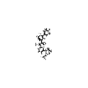 O=C(NC1C=CC=C(c2nncn2C2CC2)C1)c1cc(-c2cnccn2)ccn1